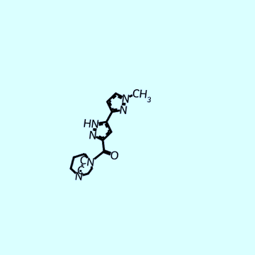 Cn1ccc(-c2cc(C(=O)N3CCN4CCC3CC4)n[nH]2)n1